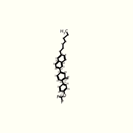 CCCCCCCc1ccc2cc(-c3ccc(-c4ccc(OC(F)F)cc4)c(F)c3)ccc2c1